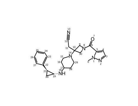 Cn1nccc1C(=O)N1CC(CC#N)(N2CCC(N[C@@H]3C[C@H]3c3ccccc3)CC2)C1